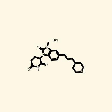 Cl.Cn1c(=O)n(C2CCC(=O)NC2=O)c2ccc(CCCC3CCNCC3)cc21